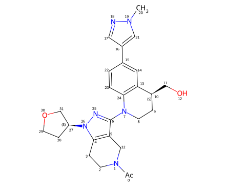 CC(=O)N1CCc2c(c(N3CC[C@H](CO)c4cc(-c5cnn(C)c5)ccc43)nn2[C@H]2CCOC2)C1